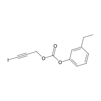 CCc1cccc(OC(=O)OCC#CI)c1